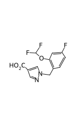 O=C(O)c1cnn(Cc2ccc(F)cc2OC(F)F)c1